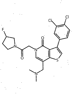 CN(C)Cc1cn(CC(=O)N2CCC(F)C2)c(=O)c2c(-c3ccc(Cl)c(Cl)c3)csc12